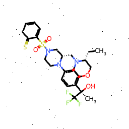 CC[C@@H]1COCCN1C[C@H]1CN(S(=O)(=O)C2=CC=CCC2=S)CCN1c1ccc([C@@](C)(O)C(F)(F)F)cc1